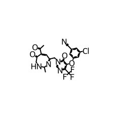 CC(=O)/C1=C/C(Cn2cnc(C(F)(F)F)c(Oc3cc(Cl)cc(C#N)c3)c2=O)=N\C(C)NCC1=O